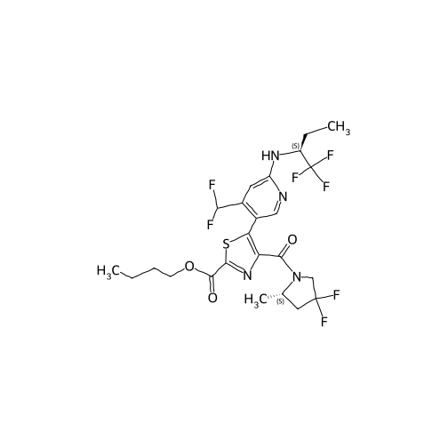 CCCCOC(=O)c1nc(C(=O)N2CC(F)(F)C[C@@H]2C)c(-c2cnc(N[C@@H](CC)C(F)(F)F)cc2C(F)F)s1